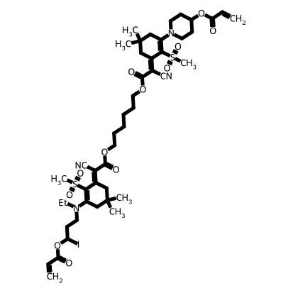 C=CC(=O)OC(I)CCN(CC)C1=C(S(C)(=O)=O)/C(=C(\C#N)C(=O)OCCCCCCOC(=O)/C(C#N)=C2\CC(C)(C)CC(N3CCC(OC(=O)C=C)CC3)=C2S(C)(=O)=O)CC(C)(C)C1